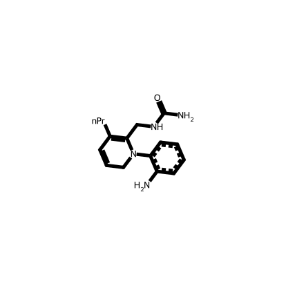 CCCC1=C(CNC(N)=O)N(c2ccccc2N)CC=C1